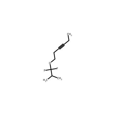 CCC#CCCOC(F)(F)C(C)C